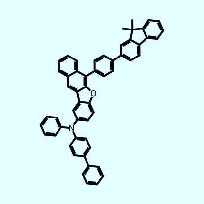 CC1(C)c2ccccc2-c2ccc(-c3ccc(-c4c5ccccc5cc5c4oc4ccc(N(c6ccccc6)c6ccc(-c7ccccc7)cc6)cc45)cc3)cc21